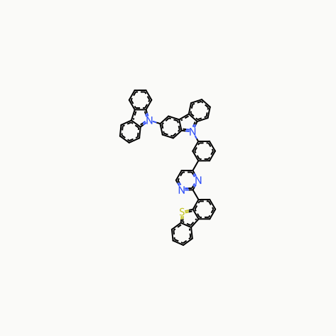 c1cc(-c2ccnc(-c3cccc4c3sc3ccccc34)n2)cc(-n2c3ccccc3c3cc(-n4c5ccccc5c5ccccc54)ccc32)c1